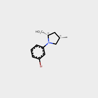 C[C@H]1C[C@@H](C(=O)O)N(c2cccc(Br)c2)C1